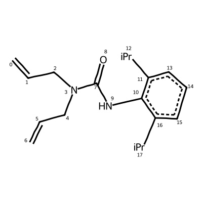 C=CCN(CC=C)C(=O)Nc1c(C(C)C)cccc1C(C)C